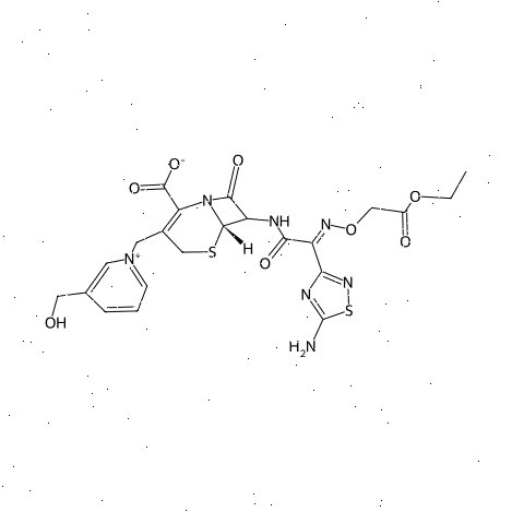 CCOC(=O)CON=C(C(=O)NC1C(=O)N2C(C(=O)[O-])=C(C[n+]3cccc(CO)c3)CS[C@@H]12)c1nsc(N)n1